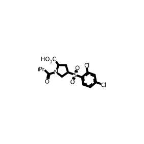 CC(C)C(=O)N1CC(S(=O)(=O)c2ccc(Cl)cc2Cl)CC1C(=O)O